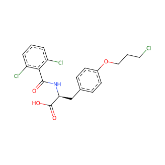 O=C(N[C@@H](Cc1ccc(OCCCCl)cc1)C(=O)O)c1c(Cl)cccc1Cl